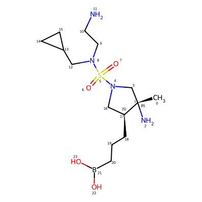 C[C@]1(N)CN(S(=O)(=O)N(CCN)CC2CC2)C[C@@H]1CCCB(O)O